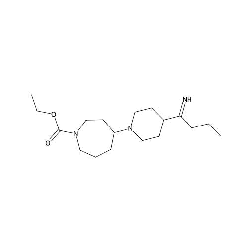 CCCC(=N)C1CCN(C2CCCN(C(=O)OCC)CC2)CC1